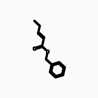 CCC=CC(=O)OCc1ccccc1